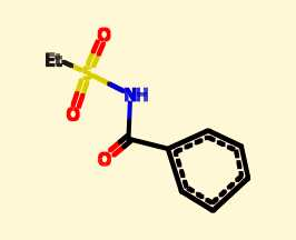 CCS(=O)(=O)NC(=O)c1ccccc1